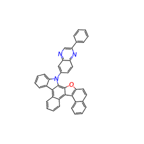 c1ccc(-c2cnc3cc(-n4c5ccccc5c5c6ccccc6c6c(oc7ccc8ccccc8c76)c54)ccc3n2)cc1